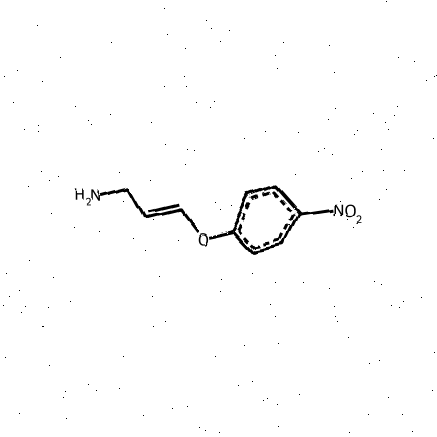 NCC=COc1ccc([N+](=O)[O-])cc1